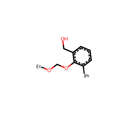 CCOCOc1c(CO)cccc1C(C)C